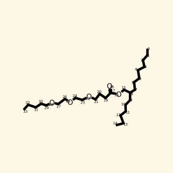 CCCCCCCCC(CCCCCC)COC(=O)CCCOCCOCCOCCCCC